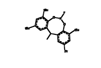 CC(C)c1cc2c(c(C(C)(C)C)c1)OP(F)Oc1c(cc(C(C)(C)C)cc1C(C)(C)C)C2C